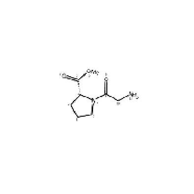 COC(=O)[C@H]1CCCN1C(=O)CN